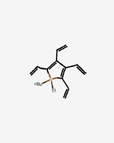 C=CC1=C(C=C)S(CC)(CCCC)C(C=C)=C1C=C